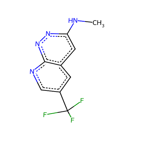 CNc1cc2cc(C(F)(F)F)cnc2nn1